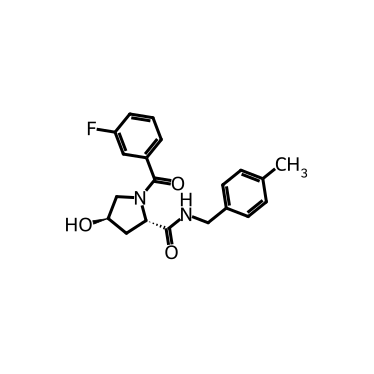 Cc1ccc(CNC(=O)[C@@H]2C[C@@H](O)CN2C(=O)c2cccc(F)c2)cc1